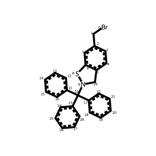 BrCc1ccc2c(c1)SN(C(c1ccccc1)(c1ccccc1)c1ccccc1)C2